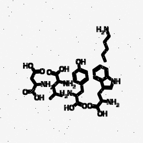 CC(C)CC(N)C(=O)O.CCCCCN.NC(CC(=O)O)C(=O)O.NC(Cc1c[nH]c2ccccc12)C(=O)O.NC(Cc1ccc(O)cc1)C(=O)O